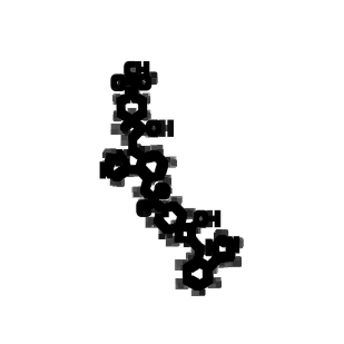 CS(=O)(=O)N1CCC2(CC1)C[C@@H]([C@@H]1c3cccc(CS(=O)(=O)N4CCC5(CC4)C[C@H]([C@H]4c6ccccc6-c6cncn64)[C@H]5O)c3-c3cncn31)[C@@H]2O